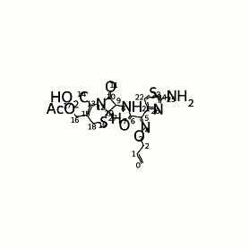 C=CCO/N=C(\C(=O)NC1C(=O)N2C(C(=O)O)=C(COC(C)=O)CS[C@@H]12)c1csc(N)n1